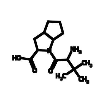 CC(C)(C)C(N)C(=O)N1C(C(=O)O)CC2CCCC21